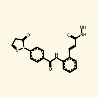 O=C(/C=C/c1ccccc1NC(=O)c1ccc(N2N=CCC2=O)cc1)NO